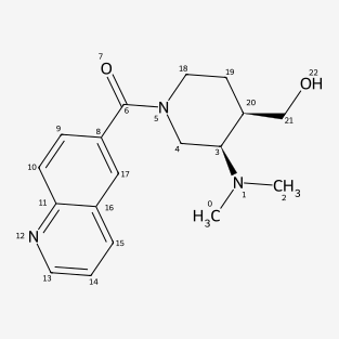 CN(C)[C@H]1CN(C(=O)c2ccc3ncccc3c2)CC[C@H]1CO